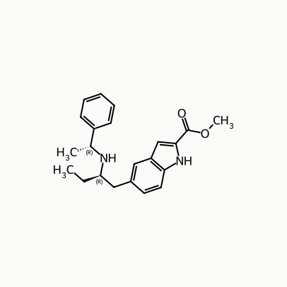 CC[C@H](Cc1ccc2[nH]c(C(=O)OC)cc2c1)N[C@H](C)c1ccccc1